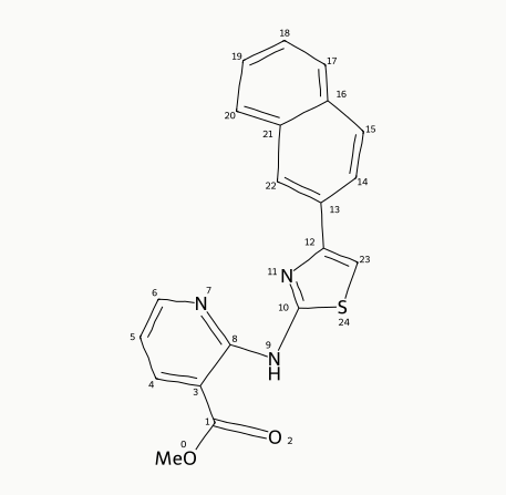 COC(=O)c1cccnc1Nc1nc(-c2ccc3ccccc3c2)cs1